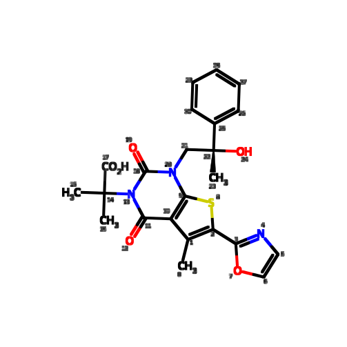 Cc1c(-c2ncco2)sc2c1c(=O)n(C(C)(C)C(=O)O)c(=O)n2C[C@@](C)(O)c1ccccc1